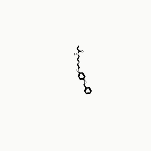 CCC(=O)NCCOCCOc1ccc(OCc2ccccc2)cc1